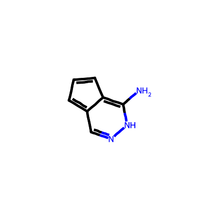 Nc1[nH]ncc2cccc1-2